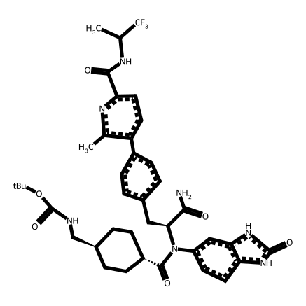 Cc1nc(C(=O)NC(C)C(F)(F)F)ccc1-c1ccc(C[C@@H](C(N)=O)N(c2ccc3[nH]c(=O)[nH]c3c2)C(=O)[C@H]2CC[C@H](CNC(=O)OC(C)(C)C)CC2)cc1